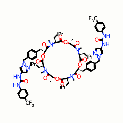 CC(C)C[C@H]1C(=O)O[C@H](Cc2ccc(Cn3cc(NC(=O)Nc4ccc(C(F)(F)F)cc4)cn3)cc2)C(=O)N(C)[C@@H](CC(C)C)C(=O)O[C@H](C)C(=O)N(C)[C@@H](CC(C)C)C(=O)O[C@H](Cc2ccc(Cn3cc(NC(=O)Nc4ccc(C(F)(F)F)cc4)cn3)cc2)C(=O)N(C)[C@@H](CC(C)C)C(=O)O[C@H](C)C(=O)N1C